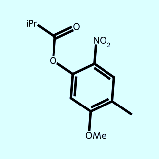 COc1cc(OC(=O)C(C)C)c([N+](=O)[O-])cc1C